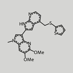 COc1cc2c(nc1OC)c(-c1cc3c(CSc4cccs4)ccnc3[nH]1)cn2C